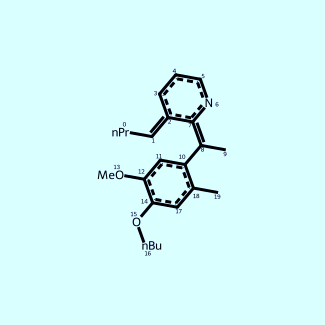 CCC/C=c1\cccn\c1=C(/C)c1cc(OC)c(OCCCC)cc1C